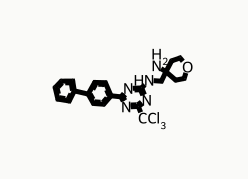 NC1(CNc2nc(-c3ccc(-c4ccccc4)cc3)nc(C(Cl)(Cl)Cl)n2)CCOCC1